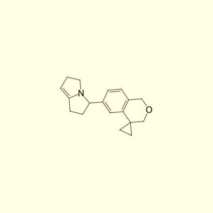 C1=C2CCC(c3ccc4c(c3)C3(CC3)COC4)N2CC1